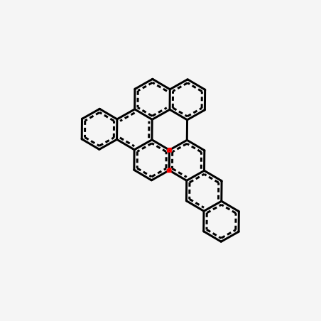 c1ccc2cc3cc(-c4cccc5ccc6c7ccccc7c7ccccc7c6c45)ccc3cc2c1